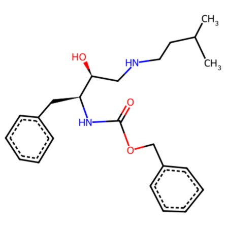 CC(C)CCNC[C@H](O)[C@H](Cc1ccccc1)NC(=O)OCc1ccccc1